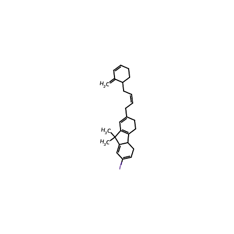 C=C1C=CCCC1C/C=C\CC1=CC2=C(CC1)C1CC=C(I)C=C1C2(C)C